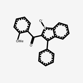 COc1ccccc1C(=O)c1c(-c2ccccc2)c2ccccc2[s+]1[O-]